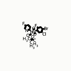 CC(C)(C)OC(=O)N(c1ccc(F)cn1)S(=O)(=O)c1cc(Cl)c(Br)cc1F